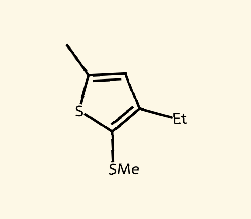 CCc1cc(C)sc1SC